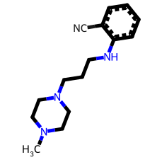 CN1CCN(CCCNc2ccccc2C#N)CC1